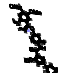 C=Nc1cc(OC)c(OC)cc1/C(=C\C)Oc1cnc(NC(=O)c2nn(-c3cccnc3)cc2OCC)c(F)c1